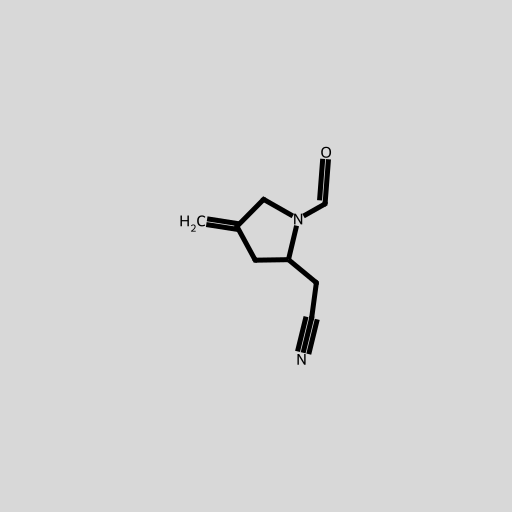 C=C1CC(CC#N)N(C=O)C1